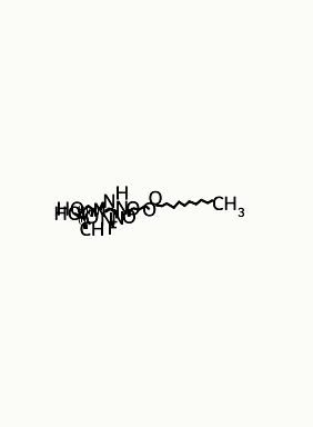 C#C[C@]1(CO)O[C@@H](n2cnc3c(NC(=O)OCCOC(=O)CCCCCCCCCCC)nc(F)nc32)C[C@@H]1O